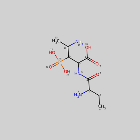 CCC(N)C(=O)NC(C(=O)O)C(C(C)N)P(=O)(O)O